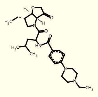 CC[C@H]1CN(C(=O)C(CC(C)C)NC(=O)c2ccc(N3CCN(CC)CC3)cc2)[C@@H]2C(=O)CO[C@H]12